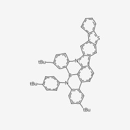 CC(C)(C)c1ccc(N2B3c4cc(C(C)(C)C)ccc4-n4c5cc6c(cc5c5ccc(c3c54)-c3cc(C(C)(C)C)ccc32)sc2ccccc26)cc1